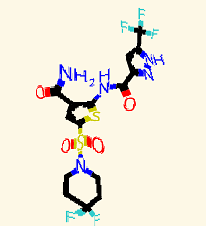 NC(=O)c1cc(S(=O)(=O)N2CCC(F)(F)CC2)sc1NC(=O)c1cc(C(F)(F)F)[nH]n1